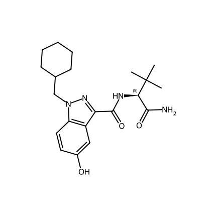 CC(C)(C)[C@H](NC(=O)c1nn(CC2CCCCC2)c2ccc(O)cc12)C(N)=O